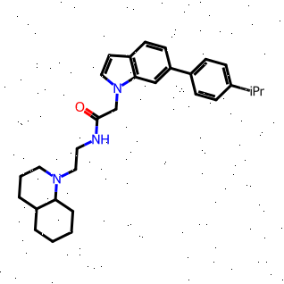 CC(C)c1ccc(-c2ccc3ccn(CC(=O)NCCN4CCCC5CCCCC54)c3c2)cc1